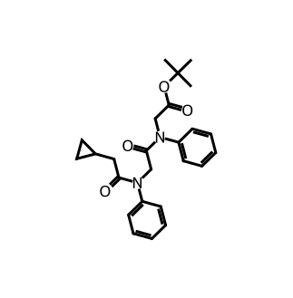 CC(C)(C)OC(=O)CN(C(=O)CN(C(=O)CC1CC1)c1ccccc1)c1ccccc1